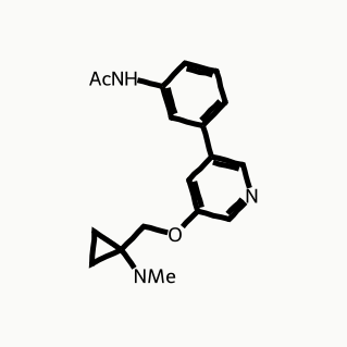 CNC1(COc2cncc(-c3cccc(NC(C)=O)c3)c2)CC1